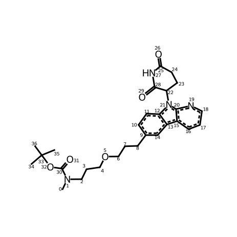 CN(CCCOCCCc1ccc2c(c1)c1cccnc1n2C1CCC(=O)NC1=O)C(=O)OC(C)(C)C